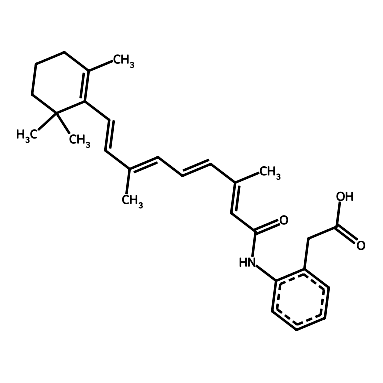 CC(C=CC1=C(C)CCCC1(C)C)=CC=CC(C)=CC(=O)Nc1ccccc1CC(=O)O